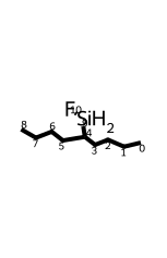 CCCCC(CCCC)[SiH2]F